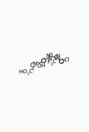 O=C(O)CC1CCCN(CC(O)c2ccc(-c3noc(-c4cnn(-c5cccc(Cl)c5)c4C(F)(F)F)n3)cc2)C1